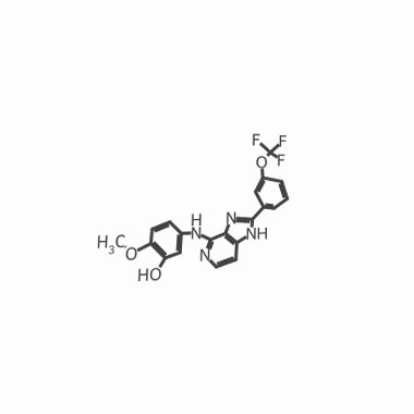 COc1ccc(Nc2nccc3[nH]c(-c4cccc(OC(F)(F)F)c4)nc23)cc1O